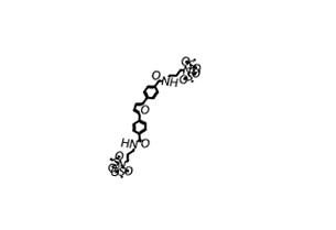 CS(=O)(=O)N(CCCNC(=O)c1ccc(-c2ccc(-c3ccc(C(=O)NCCCN(S(C)(=O)=O)S(C)(=O)=O)cc3)o2)cc1)S(C)(=O)=O